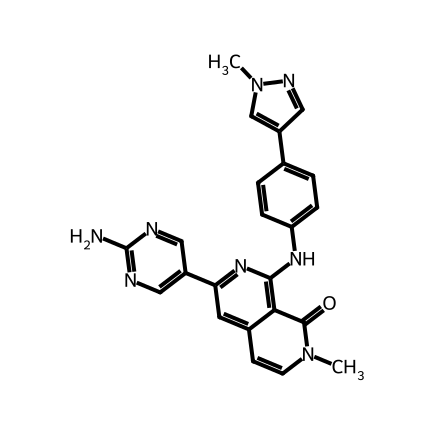 Cn1cc(-c2ccc(Nc3nc(-c4cnc(N)nc4)cc4ccn(C)c(=O)c34)cc2)cn1